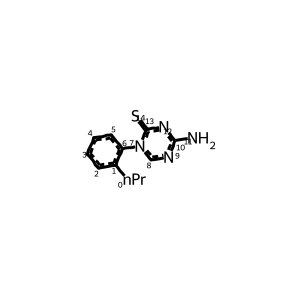 CCCc1ccccc1-n1cnc(N)nc1=S